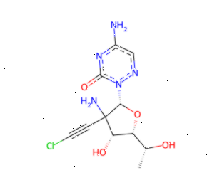 C[C@@H](O)[C@H]1O[C@@H](n2ncc(N)nc2=O)C(N)(C#CCl)[C@H]1O